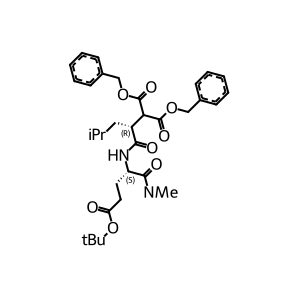 CNC(=O)[C@H](CCC(=O)OC(C)(C)C)NC(=O)[C@H](CC(C)C)C(C(=O)OCc1ccccc1)C(=O)OCc1ccccc1